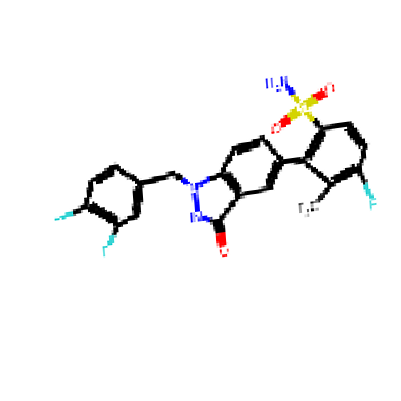 NS(=O)(=O)c1ccc(F)c(C(F)(F)F)c1-c1ccc2c(c1)c(=O)[nH]n2Cc1ccc(F)c(F)c1